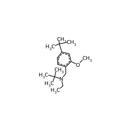 CCN(Cc1ccc(C(C)(C)C)cc1OC)C(C)(C)C